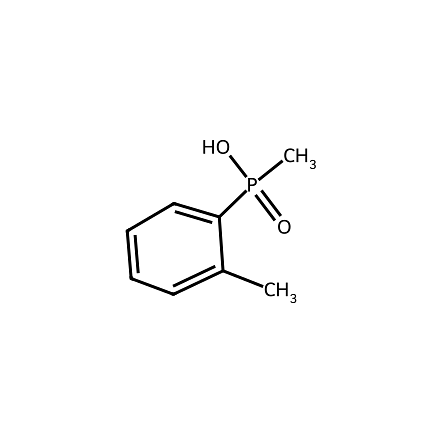 Cc1ccccc1P(C)(=O)O